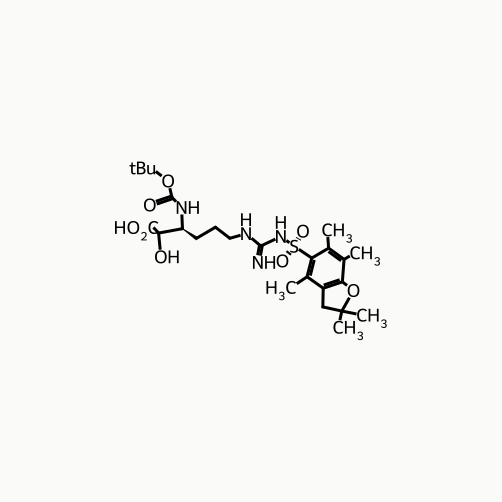 Cc1c(C)c(S(=O)(=O)NC(=N)NCCC[C@H](NC(=O)OC(C)(C)C)C(O)C(=O)O)c(C)c2c1OC(C)(C)C2